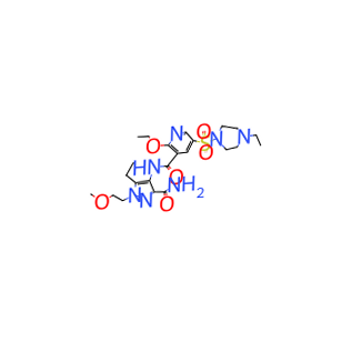 CCOc1ncc(S(=O)(=O)N2CCN(CC)CC2)cc1C(=O)Nc1c(C(N)=O)nn(CCOC)c1CC